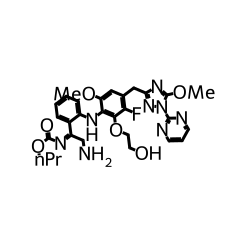 [CH2]Oc1nc(Cc2cc(OC)c(Nc3ccccc3C(CN)=NC(=O)OCCC)c(OCCO)c2F)nn1-c1ncccn1